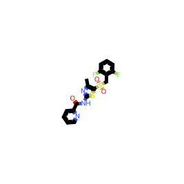 Cc1nc(NC(=O)c2ccccn2)sc1S(=O)(=O)Cc1c(F)cccc1F